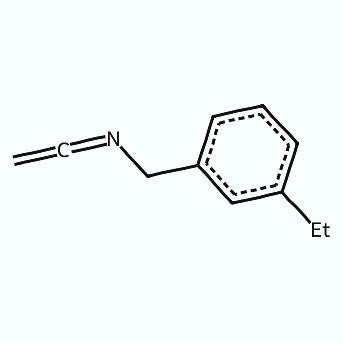 C=C=NCc1cccc(CC)c1